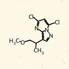 COCC(C)c1cnn2c(Cl)cc(Cl)nc12